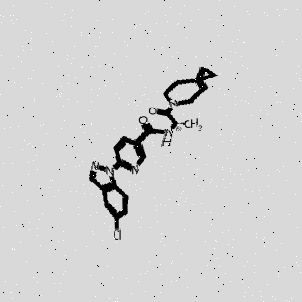 C[C@H](NC(=O)c1ccc(-n2ncc3cc(Cl)ccc32)nc1)C(=O)N1CCC2(CC1)CC2